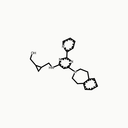 OCC1CC1CNc1cc(N2CCc3ccccc3CC2)nc(-c2ccccn2)n1